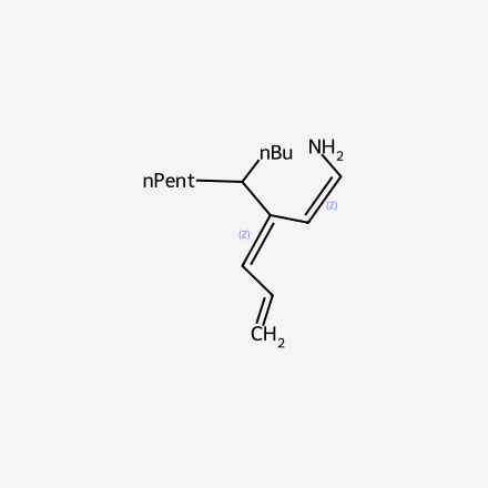 C=C/C=C(\C=C/N)C(CCCC)CCCCC